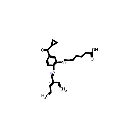 C=C/C=C(C=C)/C=N/c1ccc(C(=O)C2CC2)cc1/N=C/CCCCC(=O)O